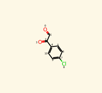 O=CC(=O)c1ccc(Cl)cc1